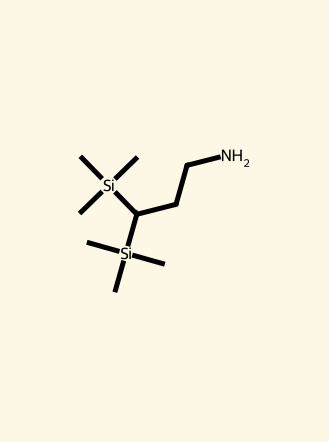 C[Si](C)(C)[C](CCN)[Si](C)(C)C